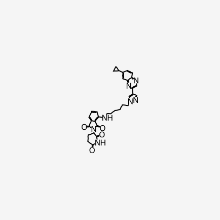 O=C1CCC(N2C(=O)c3cccc(NCCCCCCn4cc(-c5cnc6ccc(C7CC7)cc6n5)cn4)c3C2=O)C(=O)N1